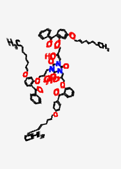 CCCCCCCCOc1ccc(C(=O)c2ccccc2OCC(O)Cn2c(=O)n(CC(O)COc3cc(OCCCCCCCC)ccc3C(=O)c3ccccc3)c(=O)n(CC(O)COc3cc(OCCCCCCCC)ccc3C(=O)c3ccccc3)c2=O)cc1